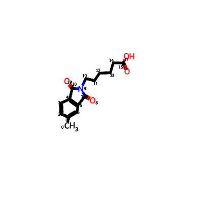 Cc1ccc2c(c1)C(=O)N(CCCCCC(=O)O)C2=O